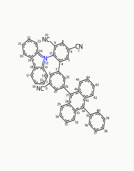 N#Cc1cc(-c2cc(C#N)cc(C#N)c2-n2c3ccccc3c3ccccc32)cc(-c2c3ccccc3c(-c3ccccc3)c3ccccc23)c1